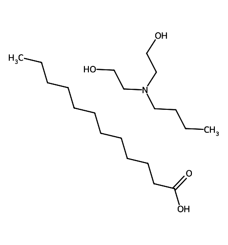 CCCCCCCCCCCC(=O)O.CCCCN(CCO)CCO